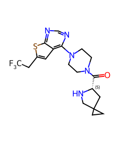 O=C([C@@H]1CC2(CC2)CN1)N1CCN(c2ncnc3sc(CC(F)(F)F)cc23)CC1